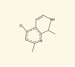 Cc1cc(Cl)c2c(n1)C(C)NC=C2